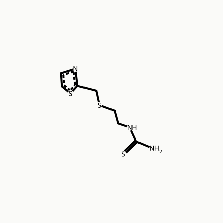 NC(=S)NCCSCc1nccs1